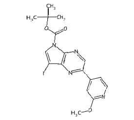 COc1cc(-c2cnc3c(n2)c(I)cn3C(=O)OC(C)(C)C)ccn1